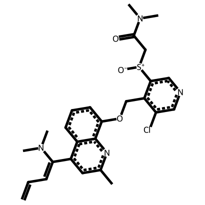 C=C/C=C(/c1cc(C)nc2c(OCc3c(Cl)cncc3[S+]([O-])CC(=O)N(C)C)cccc12)N(C)C